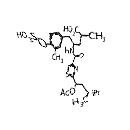 CC(=O)O[C@H](C[C@@H](C)C(C)C)c1nc(C(=O)N[C@@H](Cc2ccc(OS(=O)(=O)O)c(C)c2)CC(C)C(=O)O)cs1